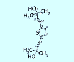 CC(C)(O)C#Cc1ccc(C#CC(C)(C)O)s1